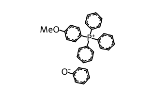 COc1ccc([P+](c2ccccc2)(c2ccccc2)c2ccccc2)cc1.[O-]c1ccccc1